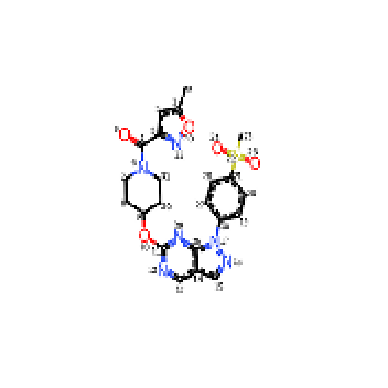 Cc1cc(C(=O)N2CCC(Oc3ncc4cnn(-c5ccc(S(C)(=O)=O)cc5)c4n3)CC2)no1